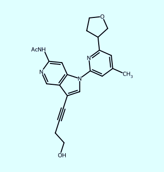 CC(=O)Nc1cc2c(cn1)c(C#CCCO)cn2-c1cc(C)cc(C2CCOC2)n1